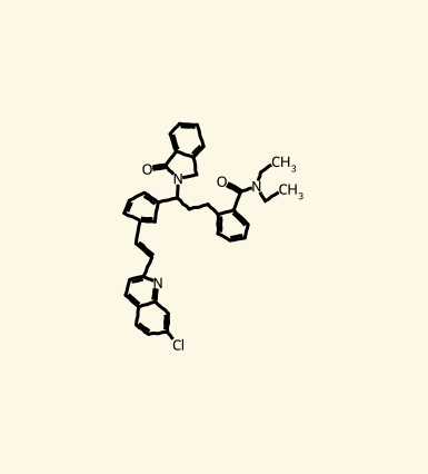 CCN(CC)C(=O)c1ccccc1CCC(c1cccc(/C=C/c2ccc3ccc(Cl)cc3n2)c1)N1Cc2ccccc2C1=O